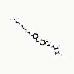 CCCN(CCC)C(=O)COC(=O)CCNC(=O)Nc1cccc(C(=O)N2CCC3(CC2)CN/C(=N\C(=O)c2nc(Cl)c(N)nc2N)N3)c1